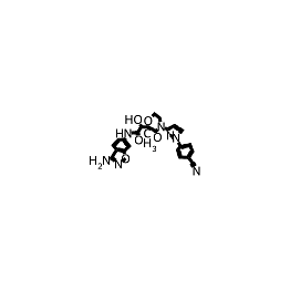 C[C@]1(C(O)C(=O)Nc2ccc3c(N)noc3c2)OCCN(c2ccn(-c3ccc(C#N)cc3)n2)C1=O